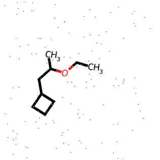 CCOC(C)CC1CCC1